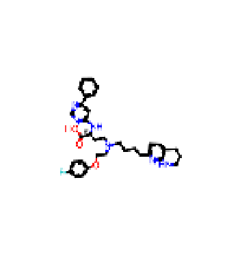 O=C(O)[C@H](CCN(CCCCc1ccc2c(n1)NCCC2)CCOc1ccc(F)cc1)Nc1cc(-c2ccccc2)ncn1